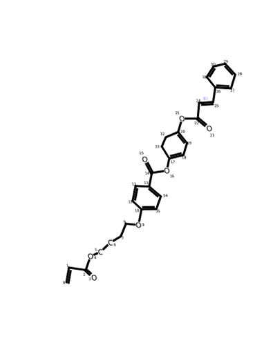 C=CC(=O)OCCCCOc1ccc(C(=O)OC2=CC=C(OC(=O)/C=C/c3ccccc3)CC2)cc1